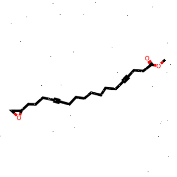 COC(=O)CCC#CCCCCCCCC#CCCCC1CO1